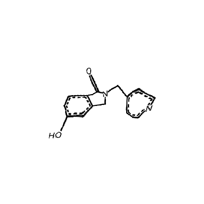 O=C1c2ccc(O)cc2CN1Cc1ccncc1